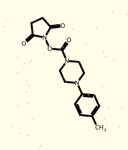 Cc1ccc(N2CCN(C(=O)ON3C(=O)CCC3=O)CC2)cc1